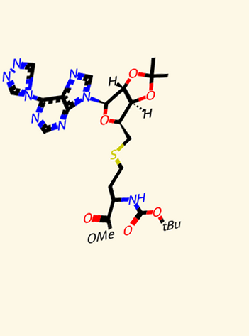 COC(=O)C(CCSC[C@H]1O[C@@H](n2cnc3c(-n4cnnc4)ncnc32)[C@@H]2OC(C)(C)O[C@H]21)NC(=O)OC(C)(C)C